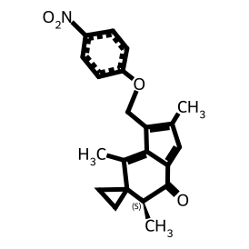 CC1=C(COc2ccc([N+](=O)[O-])cc2)C2=C(C)C3(CC3)[C@H](C)C(=O)C2=C1